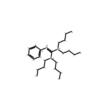 CCCCN(CCCC)C(=Nc1ccccc1)N(CCCC)CCCC